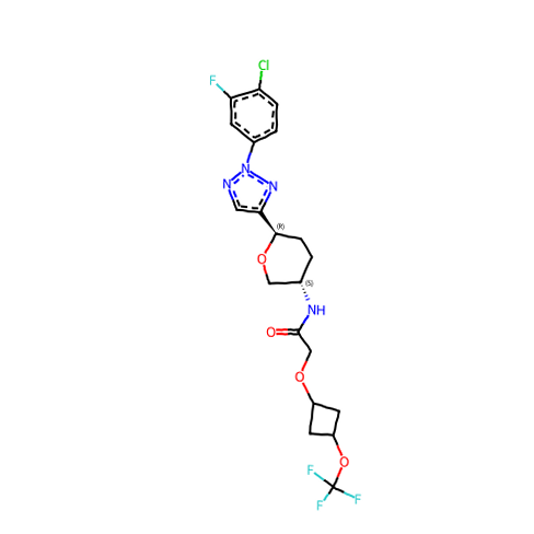 O=C(COC1CC(OC(F)(F)F)C1)N[C@H]1CC[C@H](c2cnn(-c3ccc(Cl)c(F)c3)n2)OC1